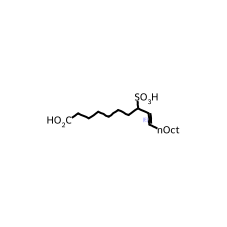 CCCCCCCC/C=C/C(CCCCCCC(=O)O)S(=O)(=O)O